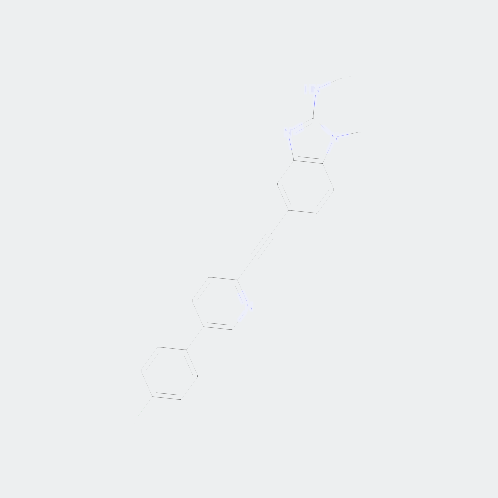 CCn1c(NC(C)C)nc2cc(C#Cc3ccc(-c4ccc(Cl)cc4)cn3)ccc21